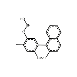 COc1cc(C)c(OBO)cc1-c1c(F)ccc2ccccc12